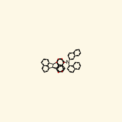 c1ccc2cc(N(c3cccc4ccccc34)c3ccc4c5c(cccc35)C35c6cccc7cccc(c67)C43c3cccc4cccc5c34)ccc2c1